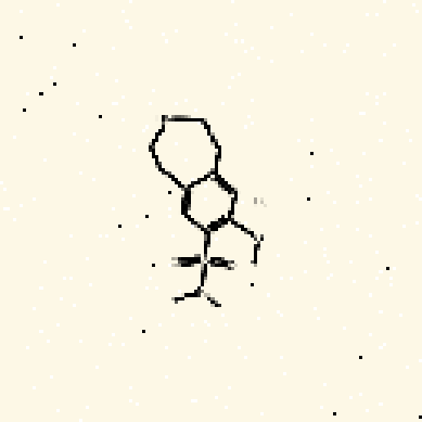 COc1cc2c(cc1S(=O)(=O)N(C)C)CCNCC2.Cl